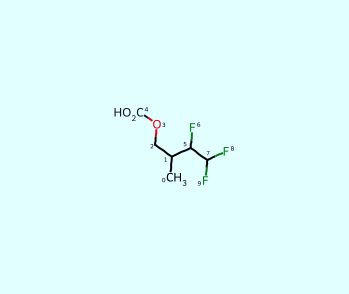 CC(COC(=O)O)C(F)C(F)F